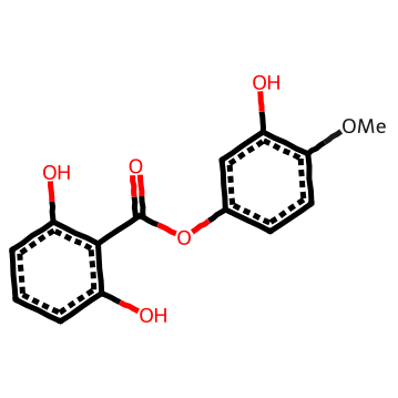 COc1ccc(OC(=O)c2c(O)cccc2O)cc1O